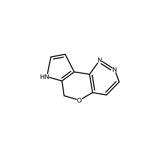 c1cc2c(nn1)-c1cc[nH]c1CO2